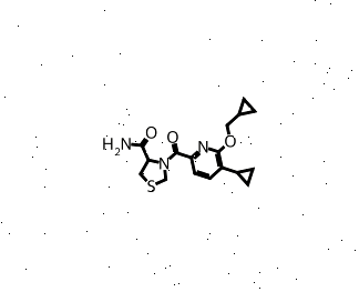 NC(=O)C1CSCN1C(=O)c1ccc(C2CC2)c(OCC2CC2)n1